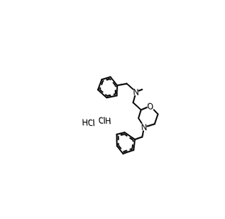 CN(Cc1ccccc1)CC1CN(Cc2ccccc2)CCO1.Cl.Cl